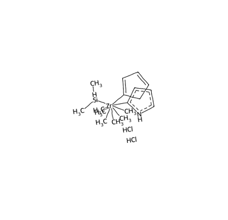 C[SiH](C)[Zr]([CH3])([CH3])([CH3])([CH3])([CH3])([CH3])([C]1=CC=CC1)[c]1ccc[nH]1.Cl.Cl